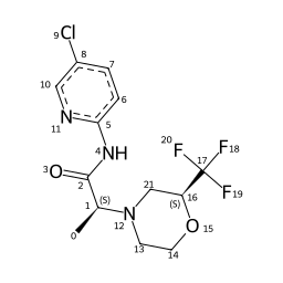 C[C@@H](C(=O)Nc1ccc(Cl)cn1)N1CCO[C@H](C(F)(F)F)C1